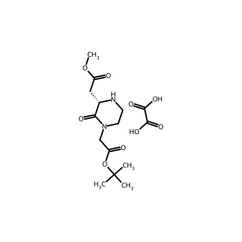 COC(=O)C[C@@H]1NCCN(CC(=O)OC(C)(C)C)C1=O.O=C(O)C(=O)O